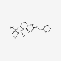 NN([PH](=O)N1CCC[C@@H](NC(=O)OCc2ccccc2)C1=O)S(=O)(=O)O